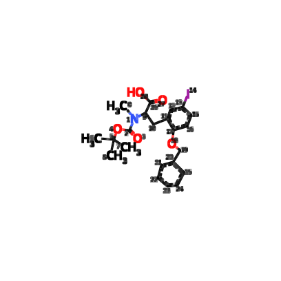 CN(C(=O)OC(C)(C)C)C(Cc1cc(I)ccc1OCc1ccccc1)C(=O)O